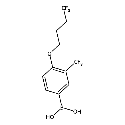 OB(O)c1ccc(OCCCC(F)(F)F)c(C(F)(F)F)c1